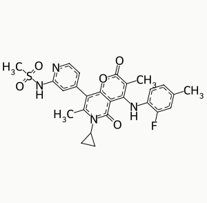 Cc1ccc(Nc2c(C)c(=O)oc3c(-c4ccnc(NS(C)(=O)=O)c4)c(C)n(C4CC4)c(=O)c23)c(F)c1